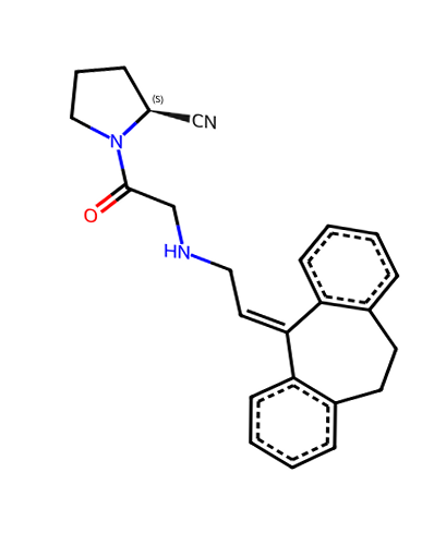 N#C[C@@H]1CCCN1C(=O)CNCC=C1c2ccccc2CCc2ccccc21